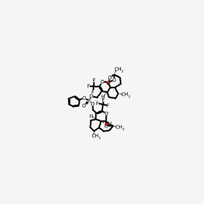 C[C@@H]1CC[C@H]2C(COP(=O)(OCC3=C(C(F)(F)F)O[C@@H]4O[C@]5(C)CCC6[C@H](C)CC[C@@H]3[C@]64OO5)Oc3ccccc3)=C(C(F)(F)F)OC3O[C@]4(C)CCC1[C@]32OO4